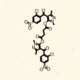 Cc1nn(C)c(OC(=O)CCC(=O)Oc2c(C(=O)c3ccc([N+](=O)[O-])cc3Cl)c(C)nn2C)c1C(=O)c1ccc([N+](=O)[O-])cc1Cl